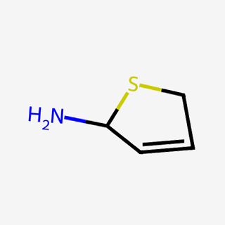 NC1C=CCS1